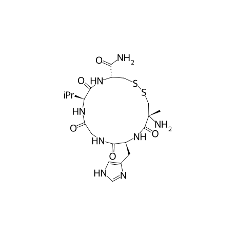 CC(C)[C@@H]1NC(=O)CNC(=O)[C@H](Cc2c[nH]cn2)NC(=O)[C@@](C)(N)CSSC[C@@H](C(N)=O)NC1=O